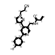 C=CC(=O)NCc1cnc(-c2ccc(F)cc2)cc1-c1ccn(CCC#N)n1